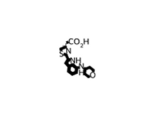 O=C(O)C[C@H]1CSC(c2cc3cccc(NC4CCOCC4)c3[nH]2)=N1